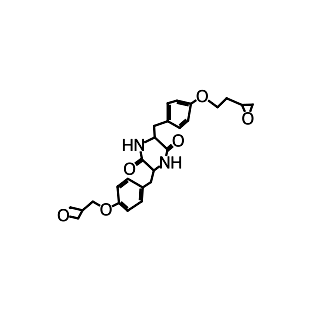 O=C1NC(Cc2ccc(OCC3COC3)cc2)C(=O)NC1Cc1ccc(OCCC2CO2)cc1